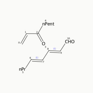 C=CC(=O)CCCCC.CCC/C=C/C=C/C=O